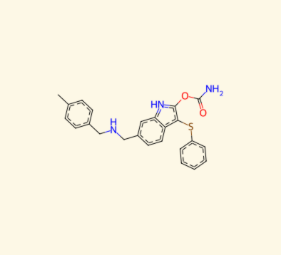 Cc1ccc(CNCc2ccc3c(Sc4ccccc4)c(OC(N)=O)[nH]c3c2)cc1